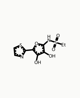 CCS(=O)(=O)Nc1oc(-c2nccs2)c(O)c1O